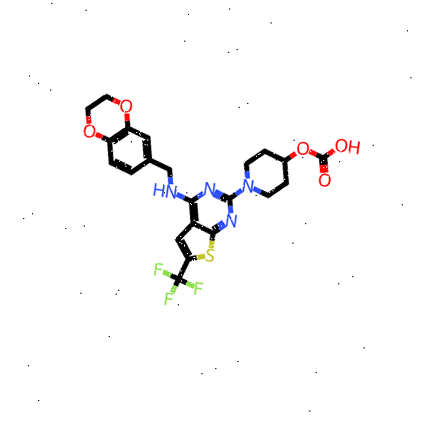 O=C(O)OC1CCN(c2nc(NCc3ccc4c(c3)OCCO4)c3cc(C(F)(F)F)sc3n2)CC1